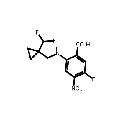 O=C(O)c1cc(F)c([N+](=O)[O-])cc1NCC1(C(F)F)CC1